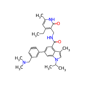 CCc1cc(C)[nH]c(=O)c1CNC(=O)c1cc(-c2c#ccc(CN(C)C)c2)cc2c1c(C)cn2C(C)C